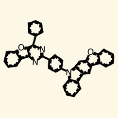 c1ccc(-c2nc(-c3ccc(-n4c5ccccc5c5cc6c(cc54)oc4ccccc46)cc3)nc3c2oc2ccccc23)cc1